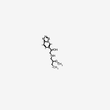 CCC(CNCC(O)c1ccc2nnnn2c1)OC